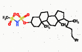 CC(C)CCCC(C)C1CCC2C3CCC4CC(OS(=O)(=O)NS(=O)(=O)C(F)(F)F)CCC4(C)C3CCC12C